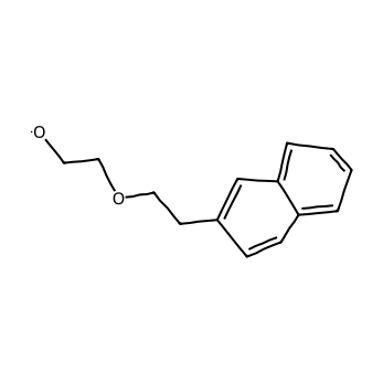 [O]CCOCCc1ccc2ccccc2c1